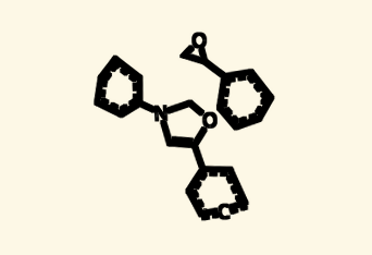 C1=C(c2ccccc2)OCN1c1ccccc1.c1ccc(C2CO2)cc1